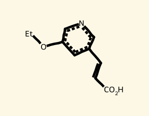 CCOc1cncc(C=CC(=O)O)c1